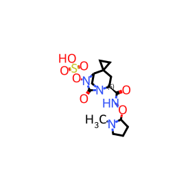 CN1CCCC1ONC(=O)[C@@H]1CC2(CC2)C2CN1C(=O)N2OS(=O)(=O)O